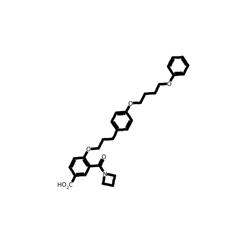 O=C(O)c1ccc(OCCCc2ccc(OCCCCOc3ccccc3)cc2)c(C(=O)N2CCC2)c1